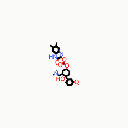 COc1cccc(C2(O)CCC(OC(=O)Oc3nc4cc(C)c(C)cc4[nH]c3=O)CC2CN(C)C)c1